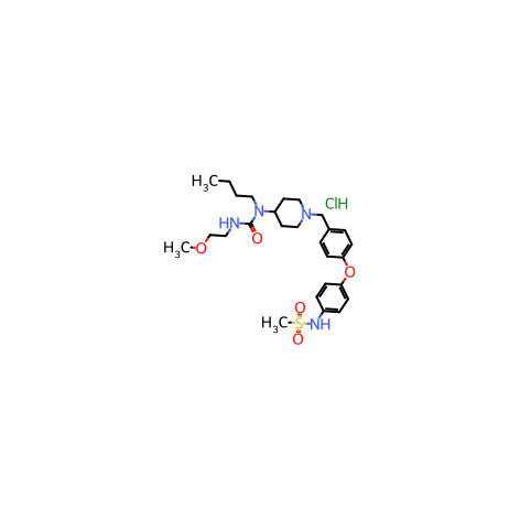 CCCCN(C(=O)NCCOC)C1CCN(Cc2ccc(Oc3ccc(NS(C)(=O)=O)cc3)cc2)CC1.Cl